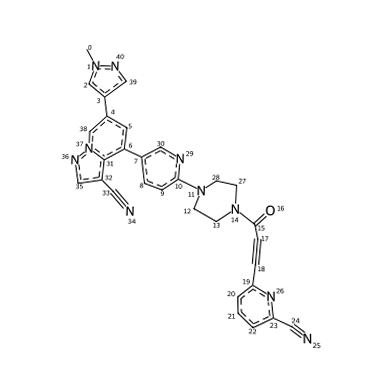 Cn1cc(-c2cc(-c3ccc(N4CCN(C(=O)C#Cc5cccc(C#N)n5)CC4)nc3)c3c(C#N)cnn3c2)cn1